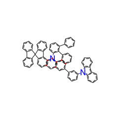 c1ccc(-c2ccccc2-c2c(-c3ccccc3)cccc2N(c2ccc(-c3cccc(-n4c5ccccc5c5ccccc54)c3)cc2)c2cccc3c2-c2ccccc2C32c3ccccc3-c3ccccc32)cc1